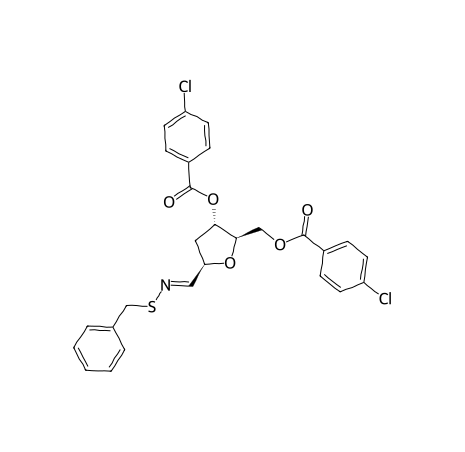 O=C(OC[C@H]1O[C@@H](C=NSCc2ccccc2)C[C@@H]1OC(=O)c1ccc(Cl)cc1)c1ccc(Cl)cc1